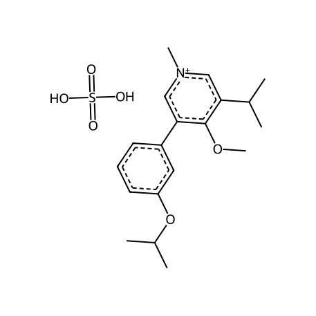 COc1c(-c2cccc(OC(C)C)c2)c[n+](C)cc1C(C)C.O=S(=O)(O)O